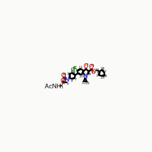 CC(=O)NC[C@H]1CN(c2ccc(-c3cc4c(cc3F)c(=O)c(C(=O)OCc3ccccc3)cn4C3CC3)c(F)c2)C(=O)O1